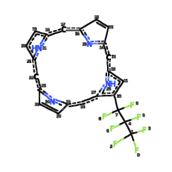 FC(F)(F)C(F)(F)C(F)(F)c1cc2cc3nc(cc4ccc(cc5nc(cc1[nH]2)C=C5)[nH]4)C=C3